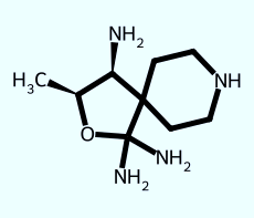 C[C@@H]1OC(N)(N)C2(CCNCC2)[C@@H]1N